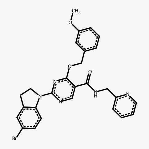 COc1cccc(COc2nc(N3CCc4cc(Br)ccc43)ncc2C(=O)NCc2ccccn2)c1